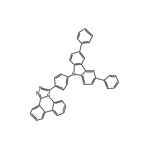 c1ccc(-c2ccc3c(c2)c2cc(-c4ccccc4)ccc2n3-c2ccc(-c3nnc4c5ccccc5c5ccccc5n34)cc2)cc1